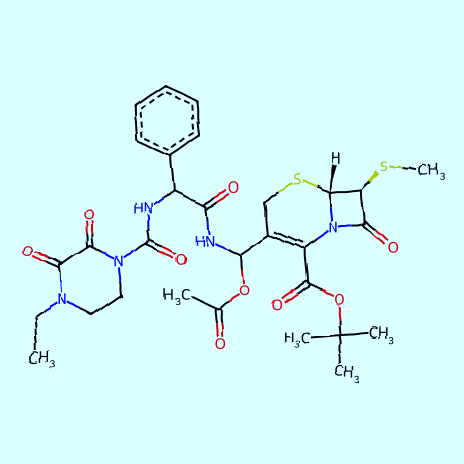 CCN1CCN(C(=O)NC(C(=O)NC(OC(C)=O)C2=C(C(=O)OC(C)(C)C)N3C(=O)[C@H](SC)[C@H]3SC2)c2ccccc2)C(=O)C1=O